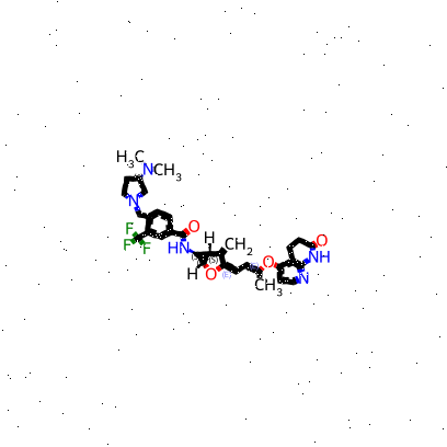 C=C1/C(=C\C=C(/C)Oc2ccnc3c2CCC(=O)N3)O[C@@H]2[C@@H](NC(=O)c3ccc(CN4CC[C@H](N(C)C)C4)c(C(F)(F)F)c3)[C@H]12